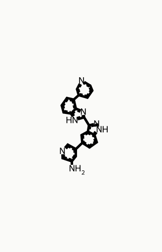 Nc1cncc(-c2ccc3[nH]nc(-c4nc5c(-c6cccnc6)cccc5[nH]4)c3c2)c1